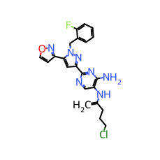 C=C(CCCCl)Nc1cnc(-c2cc(-c3ccon3)n(Cc3ccccc3F)n2)nc1N